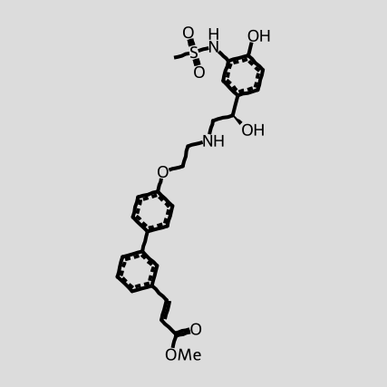 COC(=O)/C=C/c1cccc(-c2ccc(OCCNC[C@H](O)c3ccc(O)c(NS(C)(=O)=O)c3)cc2)c1